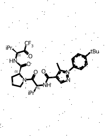 Cc1c(C(=O)N[C@H](C(=O)N2CCC[C@H]2C(=O)N[C@H](C(=O)C(F)(F)F)C(C)C)C(C)C)cnn1-c1ccc(C(C)(C)C)cc1